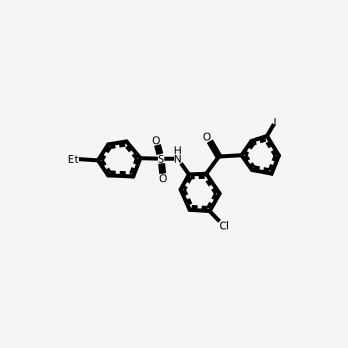 CCc1ccc(S(=O)(=O)Nc2ccc(Cl)cc2C(=O)c2cccc(I)c2)cc1